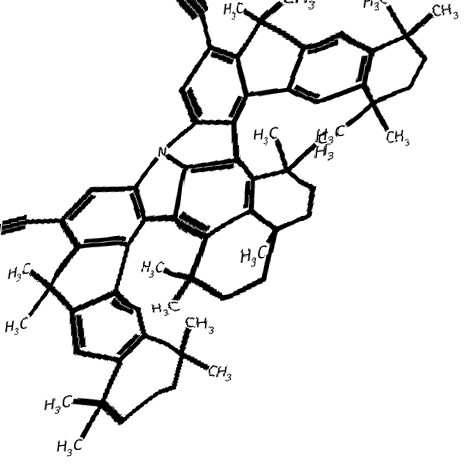 CC1(C)CCC(C)(C)c2cc3c(cc21)-c1c(c(C#N)cc2c1c1c4c5c(c6c7c8c(c(C#N)cc7n2c16)C(C)(C)c1cc2c(cc1-8)C(C)(C)CCC2(C)C)C(C)(C)CCC5(C)CCC4(C)C)C3(C)C